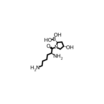 NCCCC[C@H](N)C(=O)N1C[C@@H](O)C[C@H]1B(O)O